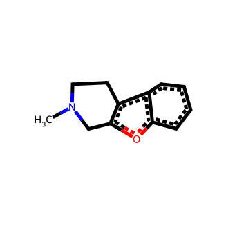 CN1CCc2c(oc3ccccc23)C1